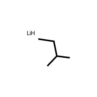 CCC(C)C.[LiH]